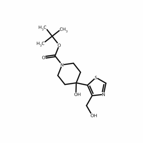 CC(C)(C)OC(=O)N1CCC(O)(c2scnc2CO)CC1